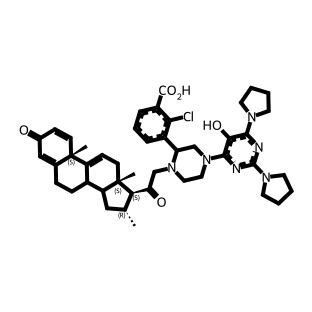 C[C@@H]1CC2C3CCC4=CC(=O)C=C[C@]4(C)C3=CC[C@]2(C)[C@H]1C(=O)CN1CCN(c2nc(N3CCCC3)nc(N3CCCC3)c2O)CC1c1cccc(C(=O)O)c1Cl